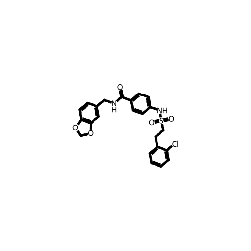 O=C(NCc1ccc2c(c1)OCO2)c1ccc(NS(=O)(=O)CCc2ccccc2Cl)cc1